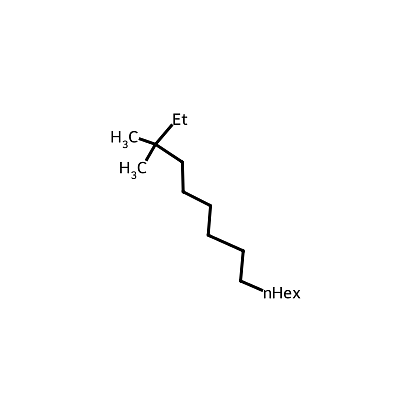 CCCCCCCCCCCCC(C)(C)CC